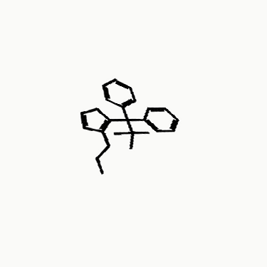 CCCC1=C(C(c2ccccc2)(c2ccccc2)C(C)(C)C)CC=C1